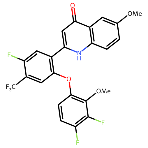 COc1ccc2[nH]c(-c3cc(F)c(C(F)(F)F)cc3Oc3ccc(F)c(F)c3OC)cc(=O)c2c1